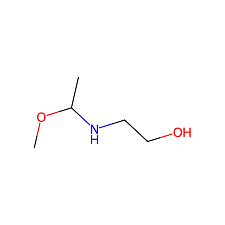 COC(C)NCCO